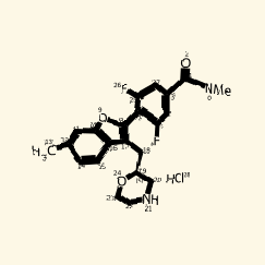 CNC(=O)c1cc(F)c(-c2oc3cc(C)ccc3c2C[C@H]2CNCCO2)c(F)c1.Cl